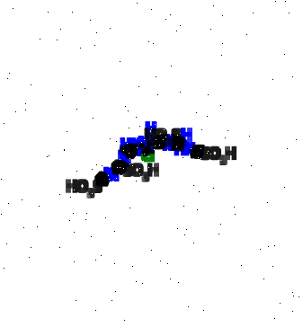 Cc1cc(Nc2nc(Cl)nc(Nc3ccc(/N=N/c4ccc(NNc5ccc(S(=O)(=O)O)cc5)cc4S(=O)(=O)O)c(C)c3)n2)ccc1N=Nc1ccc(N=Nc2ccc(S(=O)(=O)O)cc2)cc1S(=O)(=O)O